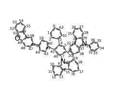 c1ccc(-c2ccc(-n3c4ccccc4c4cccc(-c5ccc6c7ccccc7n(-c7ccccc7)c6c5)c43)cc2-c2ccc(-c3ccc4oc5ccccc5c4c3)cc2)cc1